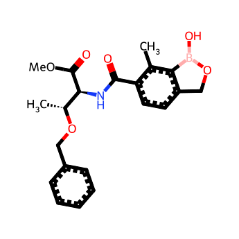 COC(=O)[C@@H](NC(=O)c1ccc2c(c1C)B(O)OC2)[C@@H](C)OCc1ccccc1